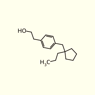 CCCC1(Cc2ccc(CCO)cc2)CCCC1